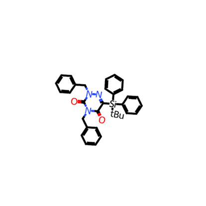 CC(C)(C)[Si](c1ccccc1)(c1ccccc1)c1nn(Cc2ccccc2)c(=O)n(Cc2ccccc2)c1=O